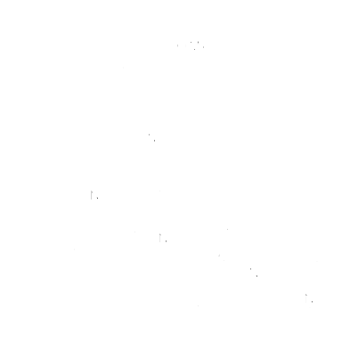 COC(=O)c1scc(C)c1NC(=O)C[N+]1(CC(=O)Nc2c(C)csc2C(=O)N2CCN(C)CC2)CCCCCC1